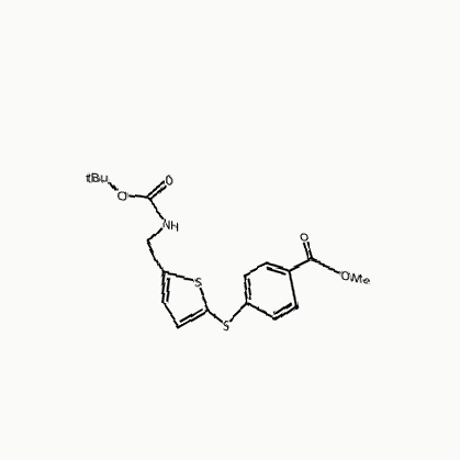 COC(=O)c1ccc(Sc2ccc(CNC(=O)OC(C)(C)C)s2)cc1